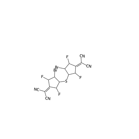 N#CC(C#N)=C1C(F)C(Br)C(SC2C(F)C(=C(C#N)C#N)C(F)C2Br)C1F